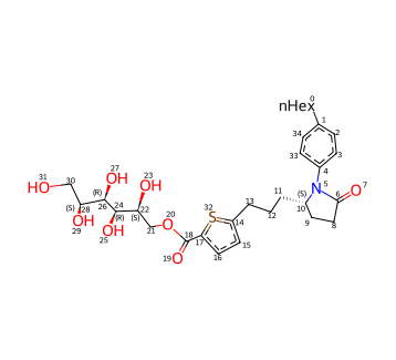 CCCCCCc1ccc(N2C(=O)CC[C@@H]2CCCc2ccc(C(=O)OC[C@H](O)[C@@H](O)[C@H](O)[C@@H](O)CO)s2)cc1